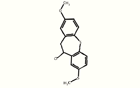 COc1ccc2c(c1)CC(Cl)c1cc(SC)ccc1S2